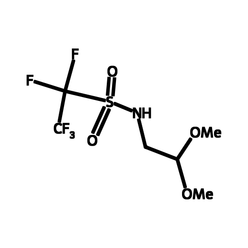 COC(CNS(=O)(=O)C(F)(F)C(F)(F)F)OC